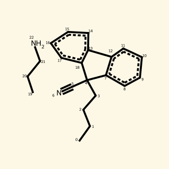 CCCCC1(C#N)c2ccccc2-c2ccccc21.CCCN